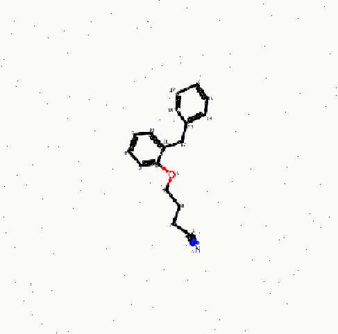 N#CCCCOc1ccccc1Cc1ccccc1